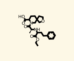 CCOC(=O)C(CCc1ccccc1)N[C@@H](C)C(=O)N1CC2(CCOC2)CCC1C(=O)O